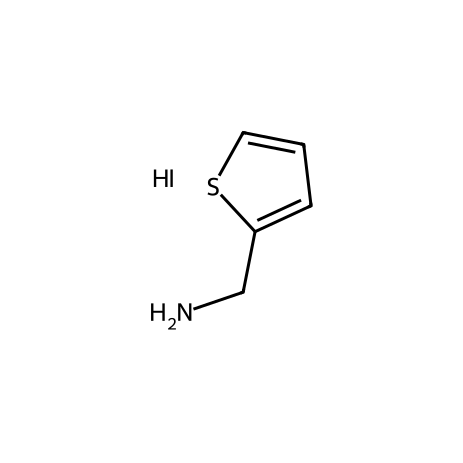 I.NCc1cccs1